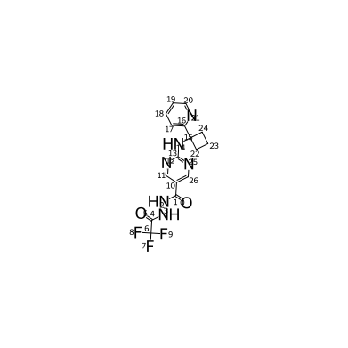 O=C(NNC(=O)C(F)(F)F)c1cnc(NC2(c3ccccn3)CCC2)nc1